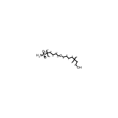 CC(C)(CCO)CCCCOCCCCC(C)(C)S(N)(=O)=O